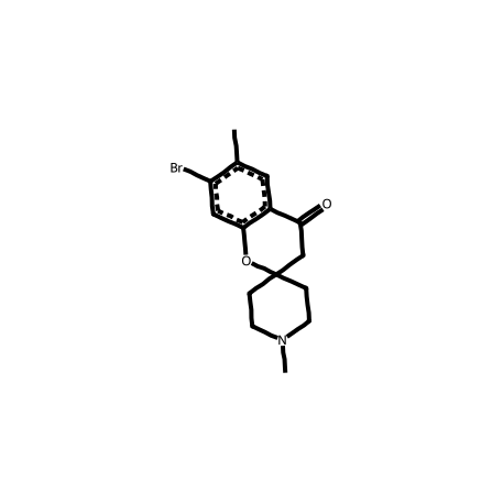 Cc1cc2c(cc1Br)OC1(CCN(C)CC1)CC2=O